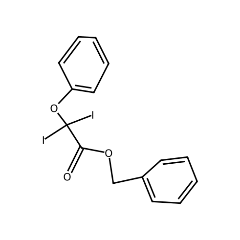 O=C(OCc1ccccc1)C(I)(I)Oc1ccccc1